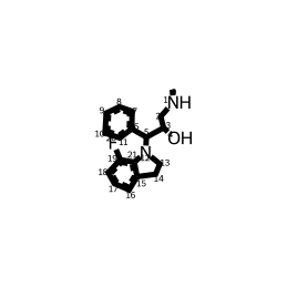 CNCC(O)C(c1ccccc1)N1CCc2cccc(F)c21